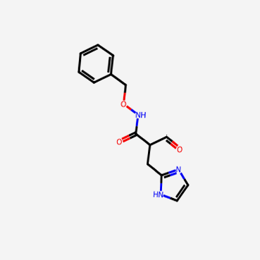 O=[C]C(Cc1ncc[nH]1)C(=O)NOCc1ccccc1